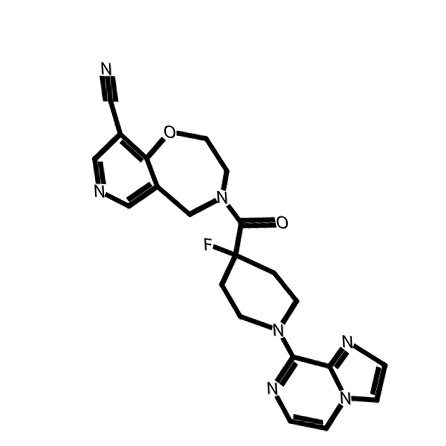 N#Cc1cncc2c1OCCN(C(=O)C1(F)CCN(c3nccn4ccnc34)CC1)C2